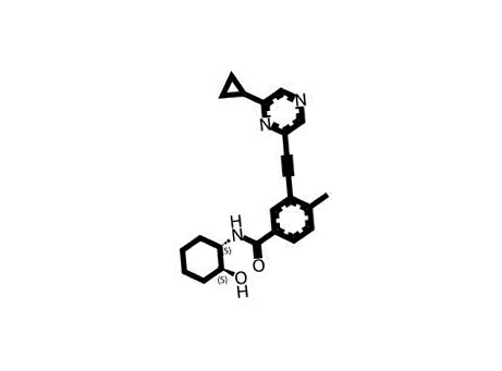 Cc1ccc(C(=O)N[C@H]2CCCC[C@@H]2O)cc1C#Cc1cncc(C2CC2)n1